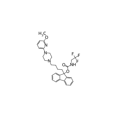 COc1cccc(N2CCN(CCCCC3(OC(=O)NCC(F)(F)F)c4ccccc4-c4ccccc43)CC2)n1